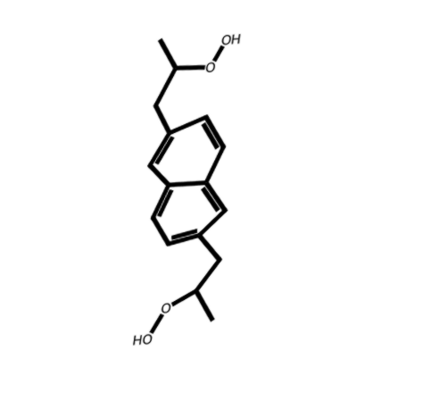 CC(Cc1ccc2cc(CC(C)OO)ccc2c1)OO